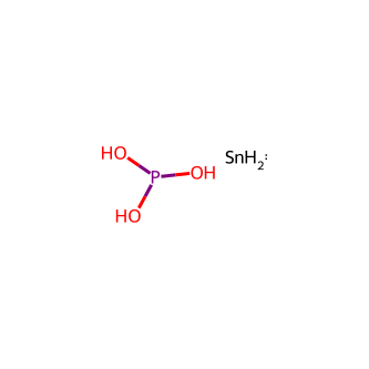 OP(O)O.[SnH2]